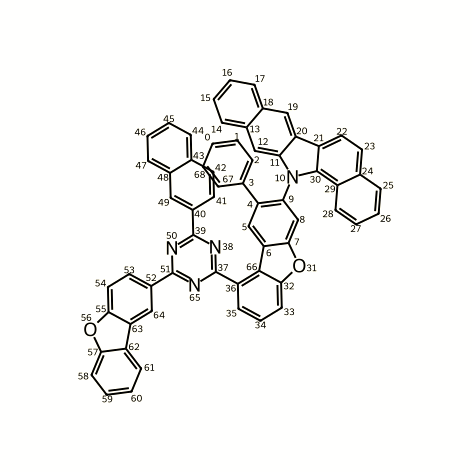 c1ccc(-c2cc3c(cc2-n2c4cc5ccccc5cc4c4ccc5ccccc5c42)oc2cccc(-c4nc(-c5ccc6ccccc6c5)nc(-c5ccc6oc7ccccc7c6c5)n4)c23)cc1